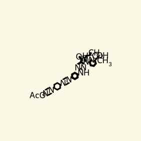 C=CCn1c(=O)c2cnc(Nc3ccc(N4CCN(C5CCC(N6CCN(OC(C)=O)CC6)CC5)CC4)cc3)nc2n1-c1cccc(C(C)(C)O)n1